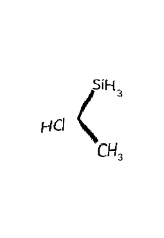 CC[SiH3].Cl